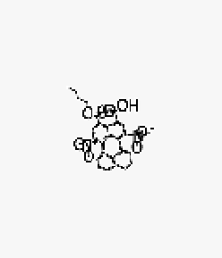 CCCCOC(=O)c1cc([N+](=O)[O-])c2c3cccc4cccc(c5c([N+](=O)[O-])cc(C(=O)O)c1c52)c43